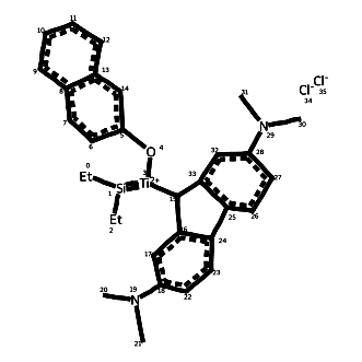 CC[Si](CC)=[Ti+2]([O]c1ccc2ccccc2c1)[CH]1c2cc(N(C)C)ccc2-c2ccc(N(C)C)cc21.[Cl-].[Cl-]